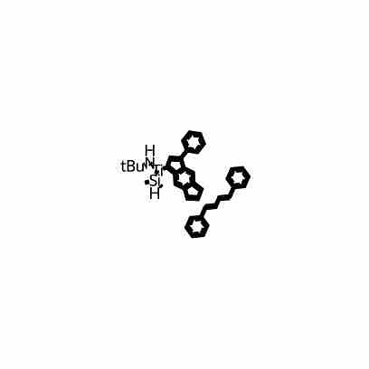 C(/C=C/c1ccccc1)=C\c1ccccc1.C[SiH](C)[Ti]([NH]C(C)(C)C)[C]1=c2cc3c(cc2C(c2ccccc2)=C1)=CC=C3